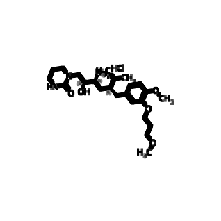 COCCCOc1cc(C[C@@H](C[C@H](N)[C@@H](O)CN2CCCNC2=O)C(C)C)ccc1OC.Cl